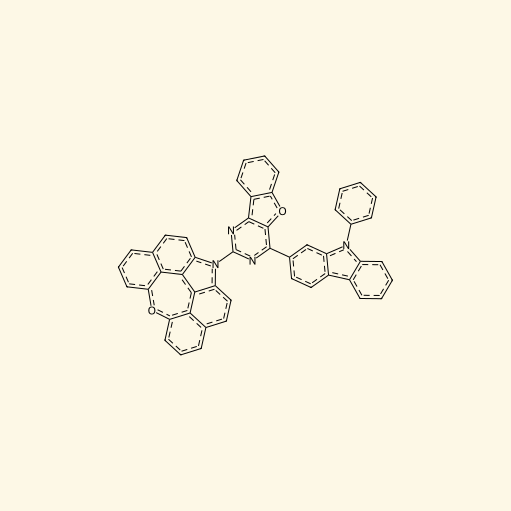 c1ccc(-n2c3ccccc3c3ccc(-c4nc(-n5c6ccc7cccc8oc9cccc%10ccc5c(c%109)c6c78)nc5c4oc4ccccc45)cc32)cc1